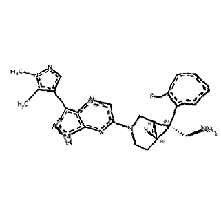 Cc1c(-c2n[nH]c3nc(N4CC[C@@H]5[C@H](C4)[C@@]5(CN)c4ccccc4F)cnc23)cnn1C